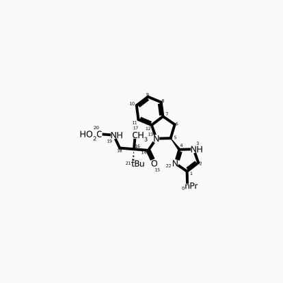 CCCc1c[nH]c([C@@H]2Cc3ccccc3N2C(=O)[C@](C)(CNC(=O)O)C(C)(C)C)n1